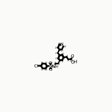 O=C(O)CCc1cc(CCNS(=O)(=O)c2ccc(Cl)cc2)cc(Cc2ccncc2)c1